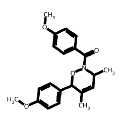 COc1ccc(C(=O)N2OC(c3ccc(OC)cc3)C(C)=CC2C)cc1